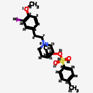 COc1ccc(CC[N+]23CCC(CC2)C(OS(=O)(=O)c2ccc(C)cc2)C3)cc1I